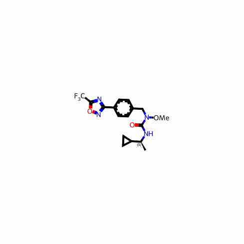 CON(Cc1ccc(-c2noc(C(F)(F)F)n2)cc1)C(=O)N[C@@H](C)C1CC1